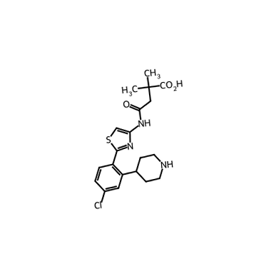 CC(C)(CC(=O)Nc1csc(-c2ccc(Cl)cc2C2CCNCC2)n1)C(=O)O